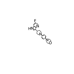 Fc1cnc2c(C3CCN(c4ccc(N5CCOCC5)cc4)CC3)c[nH]c2c1